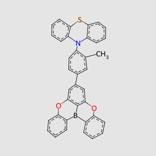 Cc1cc(-c2cc3c4c(c2)Oc2ccccc2B4c2ccccc2O3)ccc1N1c2ccccc2Sc2ccccc21